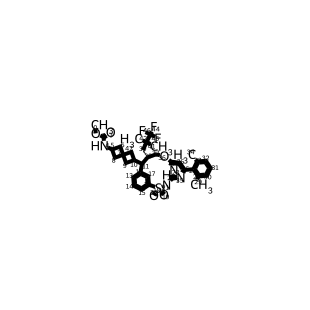 COC(=O)NC1CC2(C1)CC(C1c3cccc(c3)S(=O)(=O)Nc3nc(cc(-c4c(C)cccc4C)n3)OC[C@H]1CC(C)(C)C(F)(F)F)C2